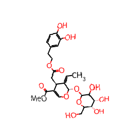 C/C=C1\[C@H](O[C@@H]2OC(CO)[C@@H](O)[C@@H](O)C2O)OC=C(C(=O)OC)[C@H]1CC(=O)OCCc1ccc(O)c(O)c1